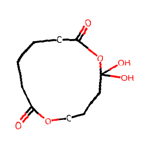 O=C1CCCCC(=O)OC(O)(O)CCCO1